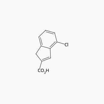 O=C(O)C1=Cc2c(Cl)cccc2C1